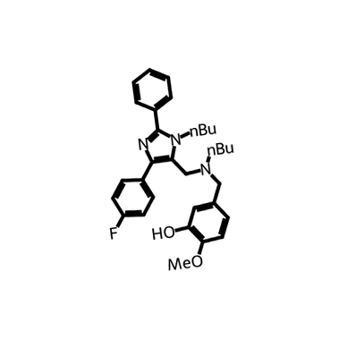 CCCCN(Cc1ccc(OC)c(O)c1)Cc1c(-c2ccc(F)cc2)nc(-c2ccccc2)n1CCCC